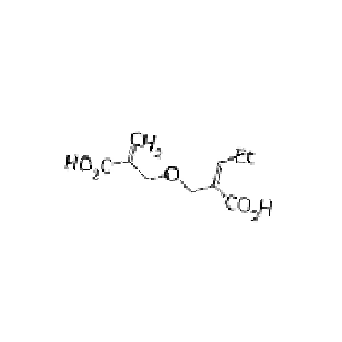 C=C(COC/C(=C/CC)C(=O)O)C(=O)O